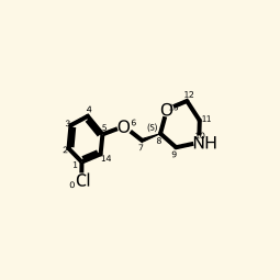 Clc1cccc(OC[C@@H]2CNCCO2)c1